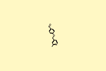 Cc1cc(COc2ccc(N=O)cc2)ccn1